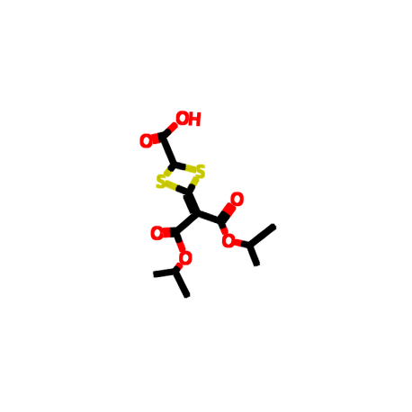 CC(C)OC(=O)C(C(=O)OC(C)C)=C1SC(C(=O)O)S1